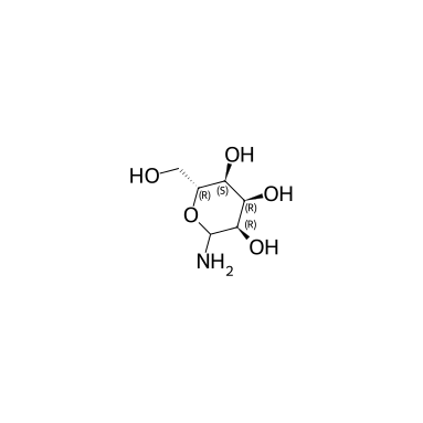 NC1O[C@H](CO)[C@@H](O)[C@@H](O)[C@H]1O